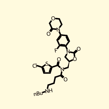 CCCCNCCCC(=O)N(C[C@H]1CN(c2ccc(N3CCOCC3=O)cc2F)C(=O)O1)C(=O)c1ccc(Cl)s1